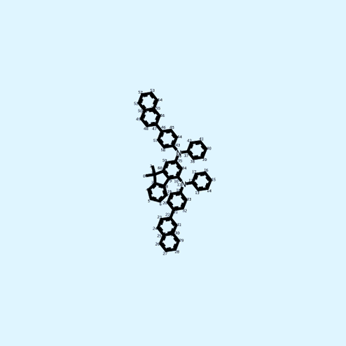 CC1(C)c2ccccc2-c2c(N(c3ccccc3)c3ccc(-c4ccc5ccccc5c4)cc3)cc(N(c3ccccc3)c3ccc(-c4ccc5ccccc5c4)cc3)cc21